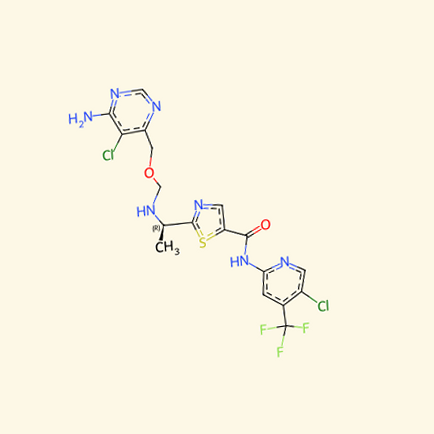 C[C@@H](NCOCc1ncnc(N)c1Cl)c1ncc(C(=O)Nc2cc(C(F)(F)F)c(Cl)cn2)s1